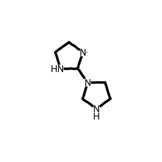 C1CNC(N2CCNC2)[N]1